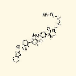 CCCOCCC(C)(C)CC(C)(C)CCN1CCN(C)[C@H](c2ccc(Nc3nc(-c4cccc(NC(=O)c5cc6c(s5)CCCC6)c4C)cn(C)c3=O)cc2)C1=O